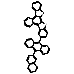 C1=Cc2ccc(-c3c4ccccc4c(-c4ccc5oc6c7sc8ccccc8c7c7ccccc7c6c5c4)c4ccccc34)cc2CC1